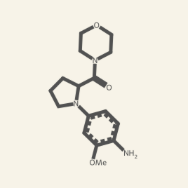 COc1cc(N2CCCC2C(=O)N2CCOCC2)ccc1N